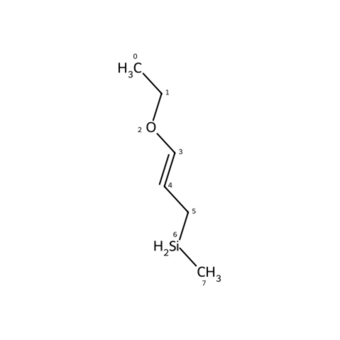 CCOC=CC[SiH2]C